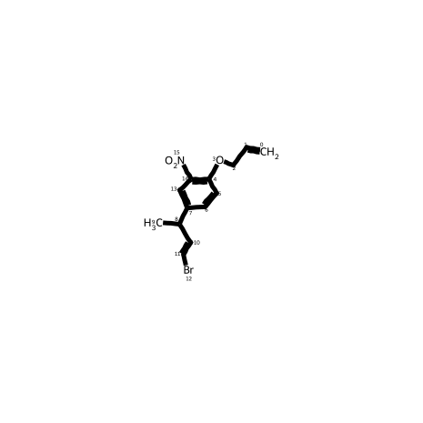 C=CCOc1ccc(C(C)C=CBr)cc1[N+](=O)[O-]